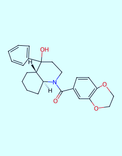 O=C(c1ccc2c(c1)OCCO2)N1CCC(O)(c2ccccc2)[C@H]2CCCC[C@@H]21